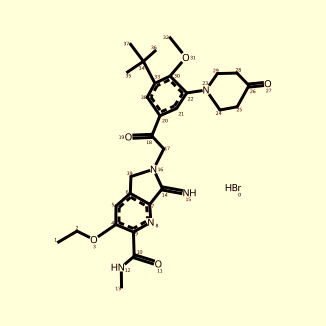 Br.CCOc1cc2c(nc1C(=O)NC)C(=N)N(CC(=O)c1cc(N3CCC(=O)CC3)c(OC)c(C(C)(C)C)c1)C2